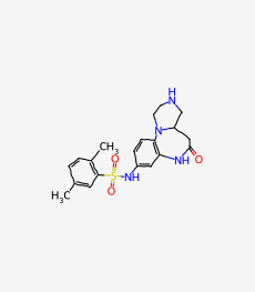 Cc1ccc(C)c(S(=O)(=O)Nc2ccc3c(c2)NC(=O)CC2CNCCN32)c1